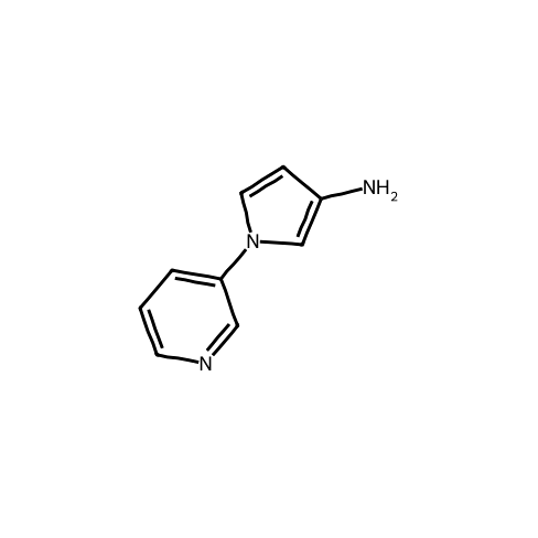 Nc1ccn(-c2cccnc2)c1